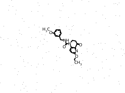 CCOc1ccc2c(n1)C(=O)CCN2C(=O)NCc1cccc(OC)c1